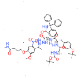 CNC(=O)CCCOc1cc([N+](=O)[O-])c(C(C)NNC(=O)[C@H](CC(=O)NC(c2ccccc2)(c2ccccc2)c2ccccc2)NC(=O)[C@H](Cc2ccc(OC(C)(C)C)cc2)NC(=O)[C@H](C)NC(=O)OC(C)(C)C)cc1OC